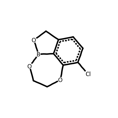 Clc1ccc2c3c1OCCOB3OC2